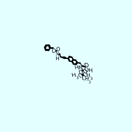 CC(C)(C)OC(=O)N[C@@H](Cc1ccc2cc(C#CCCNC(=O)OCc3ccccc3)ccc2c1)C(=O)O